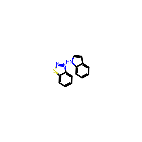 c1ccc2[nH]ccc2c1.c1ccc2snnc2c1